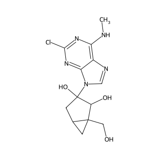 CNc1nc(Cl)nc2c1ncn2C1(O)CC2CC2(CO)C1O